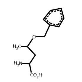 CC(CC(N)C(=O)O)OCc1ccccc1